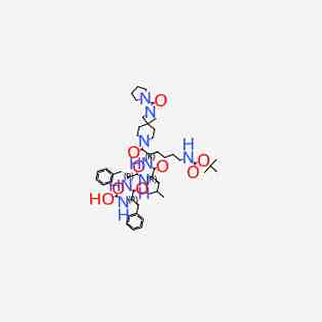 CC(C)C[C@@H](NC(=O)[C@@H](Cc1ccccc1)NC(=O)[C@@H](Cc1ccccc1)NC(=O)O)C(=O)N[C@H](CCCCNC(=O)OC(C)(C)C)C(=O)N1CCC2(CC1)CN(C(=O)N1CCCC1)C2